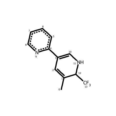 CC1=CC(c2ccccn2)=CNC1C(F)(F)F